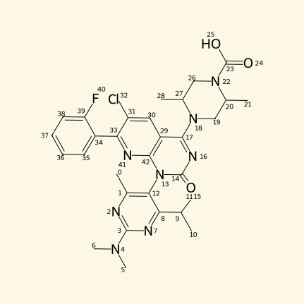 Cc1nc(N(C)C)nc(C(C)C)c1-n1c(=O)nc(N2CC(C)N(C(=O)O)CC2C)c2cc(Cl)c(-c3ccccc3F)nc21